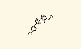 Cc1c(C=O)cnn1-c1nc(-c2ccc(Cl)cc2)cs1